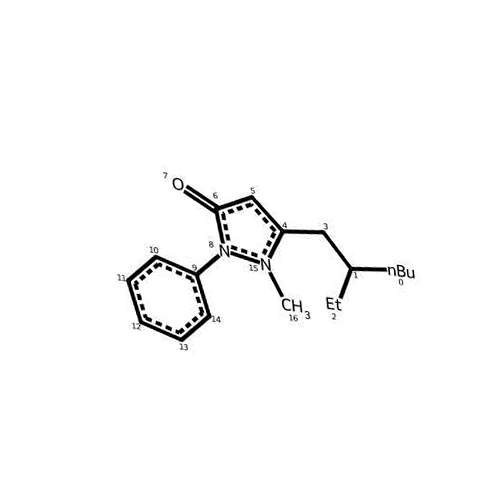 CCCCC(CC)Cc1cc(=O)n(-c2ccccc2)n1C